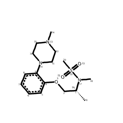 C[C@H](COc1ccccc1N1CCN(C)CC1)N(C)S(C)(=O)=O